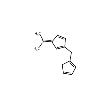 C[Si](C)=C1[C]=C(CC2=CC=CC2)C=C1